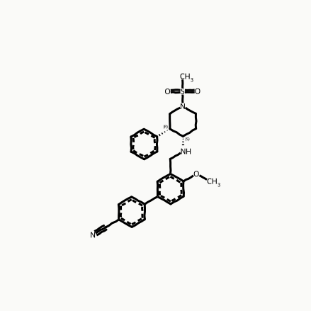 COc1ccc(-c2ccc(C#N)cc2)cc1CN[C@H]1CCN(S(C)(=O)=O)C[C@H]1c1ccccc1